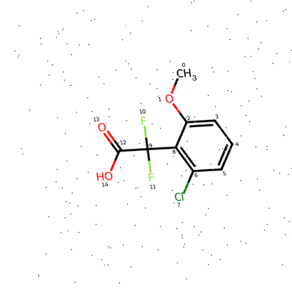 COc1cccc(Cl)c1C(F)(F)C(=O)O